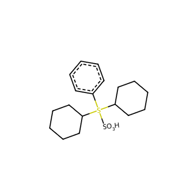 O=S(=O)(O)S(c1ccccc1)(C1CCCCC1)C1CCCCC1